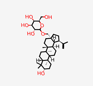 C=C(C)[C@@H]1CC[C@]2(COC3O[C@H](CO)[C@H](O)[C@H](O)[C@H]3O)CC[C@]3(C)[C@H](CC[C@@H]4[C@@]5(C)CC[C@H](O)C(C)(C)[C@@H]5CC[C@]43C)[C@@H]12